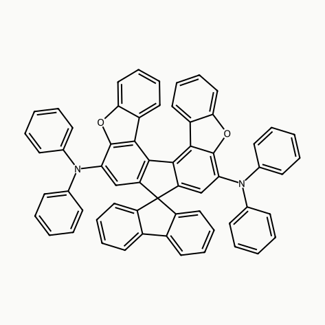 c1ccc(N(c2ccccc2)c2cc3c(c4c2oc2ccccc24)-c2c(cc(N(c4ccccc4)c4ccccc4)c4oc5ccccc5c24)C32c3ccccc3-c3ccccc32)cc1